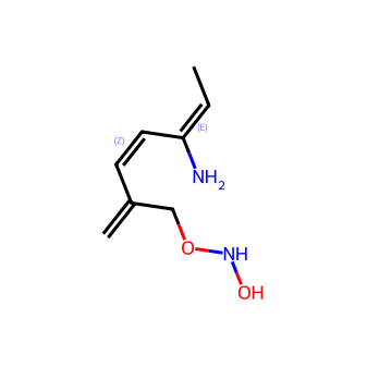 C=C(/C=C\C(N)=C/C)CONO